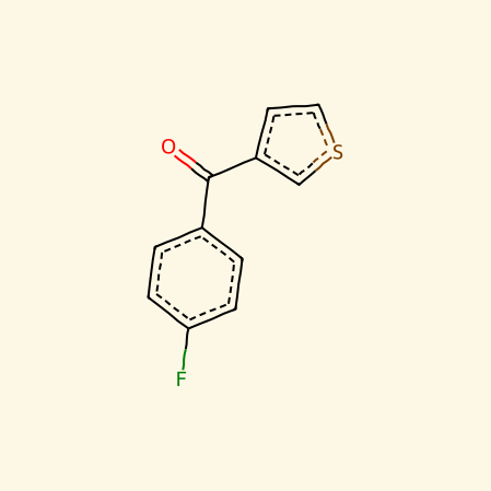 O=C(c1ccc(F)cc1)c1ccsc1